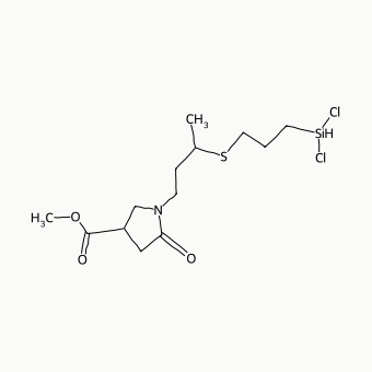 COC(=O)C1CC(=O)N(CCC(C)SCCC[SiH](Cl)Cl)C1